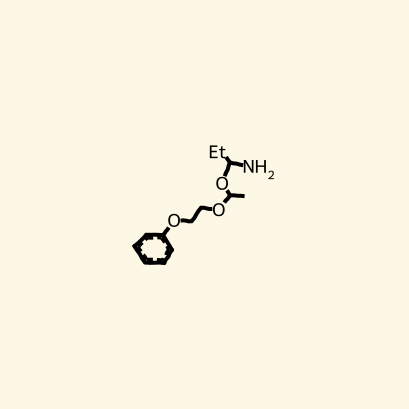 CCC(N)OC(C)OCCOc1ccccc1